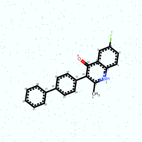 Cc1[nH]c2ccc(F)cc2c(=O)c1-c1ccc(-c2ccccc2)cc1